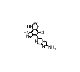 CC(C)Nc1c(F)c(Cl)c(-c2cn3cc(N)nc3cn2)c2cn[nH]c12